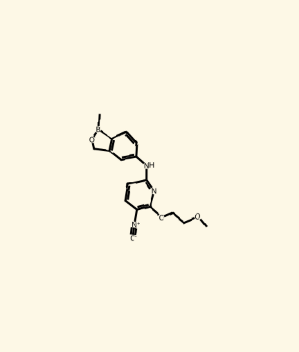 [C-]#[N+]c1ccc(Nc2ccc3c(c2)COB3C)nc1OCCOC